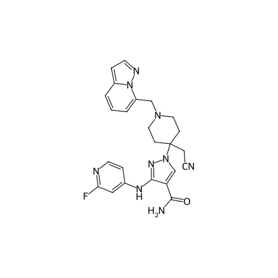 N#CCC1(n2cc(C(N)=O)c(Nc3ccnc(F)c3)n2)CCN(Cc2cccc3ccnn23)CC1